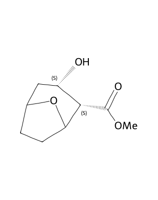 COC(=O)[C@@H]1C2CCC(C[C@@H]1O)O2